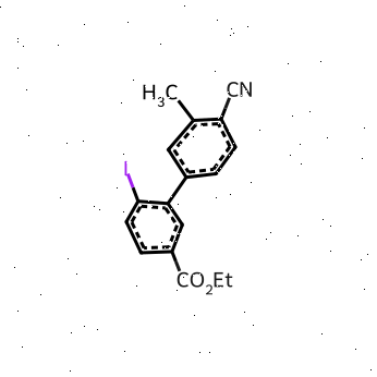 CCOC(=O)c1ccc(I)c(-c2ccc(C#N)c(C)c2)c1